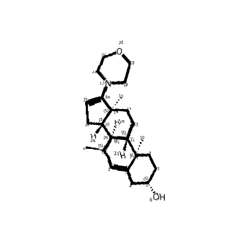 C[C@@H]1C=C2C[C@@H](O)CC[C@]2(C)[C@H]2CC[C@]3(C)C(N4CCOCC4)=CC[C@H]3[C@H]12